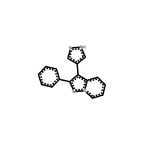 c1ccc(-c2nn3ccccc3c2-c2cn[nH]c2)cc1